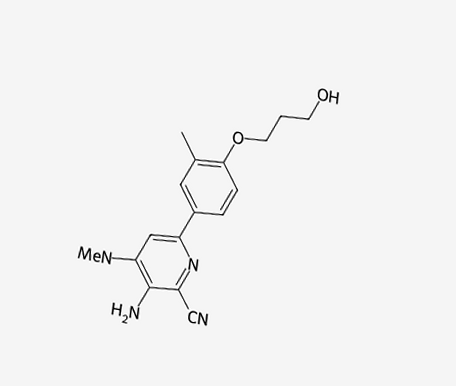 CNc1cc(-c2ccc(OCCCO)c(C)c2)nc(C#N)c1N